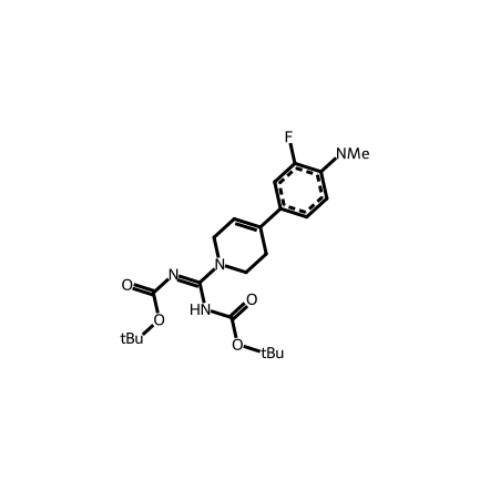 CNc1ccc(C2=CCN(C(=NC(=O)OC(C)(C)C)NC(=O)OC(C)(C)C)CC2)cc1F